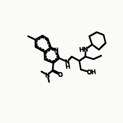 CCC(NC1CCCCC1)C(CO)CNc1nc2ccc(C)cc2cc1C(=O)N(C)C